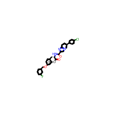 COC(=O)[C@H](Cc1ccc(OCc2cccc(F)c2)cc1)NC(=O)c1cn2cc(-c3ccc(Cl)cc3)ccc2n1